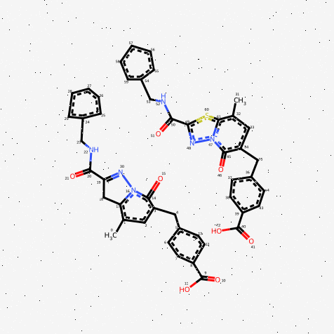 Cc1cc(Cc2ccc(C(=O)O)cc2)c(=O)n2c1CC(C(=O)NCc1ccccc1)=N2.Cc1cc(Cc2ccc(C(=O)O)cc2)c(=O)n2nc(C(=O)NCc3ccccc3)sc12